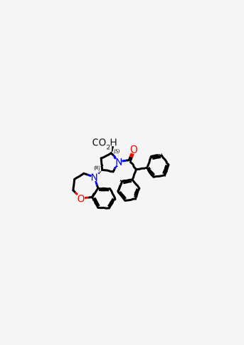 O=C(O)[C@@H]1C[C@@H](N2CCCOc3ccccc32)CN1C(=O)C(c1ccccc1)c1ccccc1